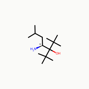 CC(C)C[C@H](N)C(O)(C(C)(C)C)C(C)(C)C